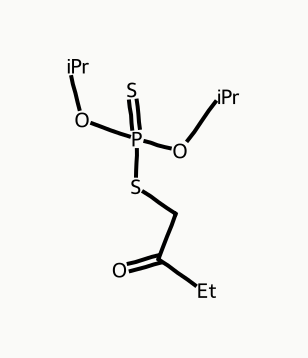 CCC(=O)CSP(=S)(OC(C)C)OC(C)C